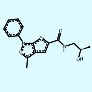 Cc1nn(-c2ccccc2)c2sc(C(=O)NC[C@@H](C)O)cc12